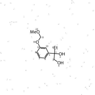 CCC(O)(CO)c1cccc(OCOC)c1